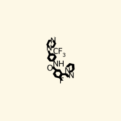 CN1CCN(Cc2ccc(NC(=O)c3ccc(F)c(-c4cnc5ccccn45)c3)cc2C(F)(F)F)CC1